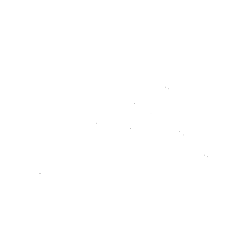 CON=C(C(=O)NC1C(=O)N2C=C(C=C(Br)Br)C(C(=O)O)S[C@H]12)c1csc(NC=O)n1